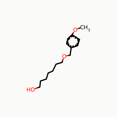 COc1ccc(COCCCCCCCO)cc1